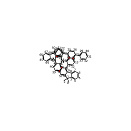 CC1(C)c2ccccc2-c2c(-c3ccccc3N(c3ccccc3-c3ccc(-c4ccccc4)cc3)c3ccccc3-n3c4ccccc4c4ccccc43)cccc21